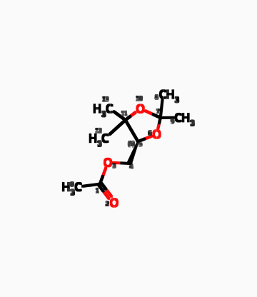 CC(=O)OC[C@@H]1OC(C)(C)OC1(C)C